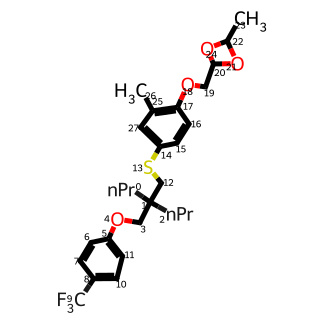 CCCC(CCC)(COc1ccc(C(F)(F)F)cc1)CSc1ccc(OCC2OC(C)O2)c(C)c1